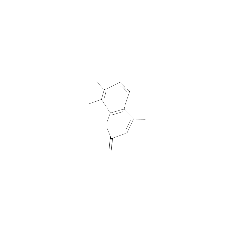 CCc1cc(=O)oc2c(O)c(O)ccc12